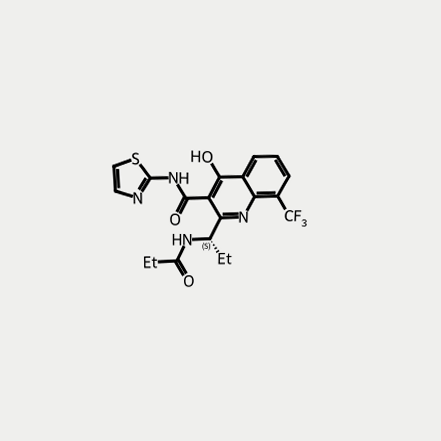 CCC(=O)N[C@@H](CC)c1nc2c(C(F)(F)F)cccc2c(O)c1C(=O)Nc1nccs1